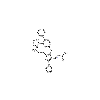 CCCc1nc(-n2cccc2)c(/C=C/C(=O)O)n1Cc1ccc(-c2ccccc2)c(-c2nnn[nH]2)c1